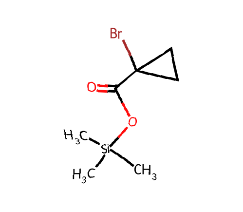 C[Si](C)(C)OC(=O)C1(Br)CC1